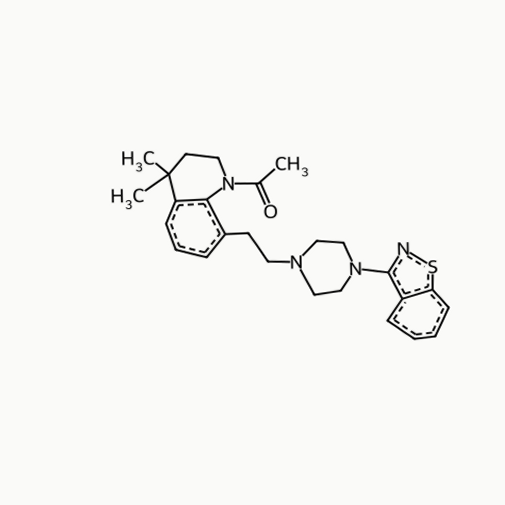 CC(=O)N1CCC(C)(C)c2cccc(CCN3CCN(c4nsc5ccccc45)CC3)c21